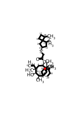 C=C[C@]1(C)C[C@@H](OC(=O)CS[C@@H]2CC(C)C3(CCC3C)C2)[C@]2(C)[C@H](C)CC34C[C@@](CCC3=O)([C@@H]42)[C@@H](C)[C@@H]1O